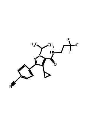 CC(C)n1nc(-c2ccc(C#N)cc2)c(C2CC2)c1C(=O)NCCC(F)(F)F